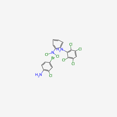 ClN(Cl)c1ccccc1.Nc1c(Cl)c(Cl)cc(Cl)c1Cl.Nc1ccc(Br)cc1Cl